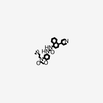 CN(C)CCN1C(=O)COc2ccc(NC(=O)Nc3ccc(-c4ccncc4)c4ccccc34)cc21